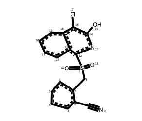 N#Cc1ccccc1CS(=O)(=O)c1nc(O)c(Cl)c2ccccc12